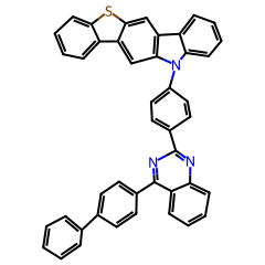 c1ccc(-c2ccc(-c3nc(-c4ccc(-n5c6ccccc6c6cc7sc8ccccc8c7cc65)cc4)nc4ccccc34)cc2)cc1